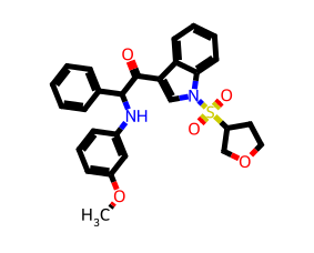 COc1cccc(NC(C(=O)c2cn(S(=O)(=O)C3CCOC3)c3ccccc23)c2ccccc2)c1